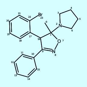 CC1(N2CCCC2)ON=C(c2ccccc2)C1c1ccccc1Br